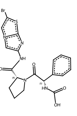 O=C(O)N[C@H](C(=O)N1CCC[C@@H]1C(=O)Nc1cn2cc(Br)sc2n1)c1ccccc1